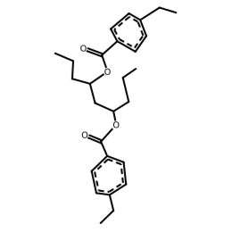 CCCC(CC(CCC)OC(=O)c1ccc(CC)cc1)OC(=O)c1ccc(CC)cc1